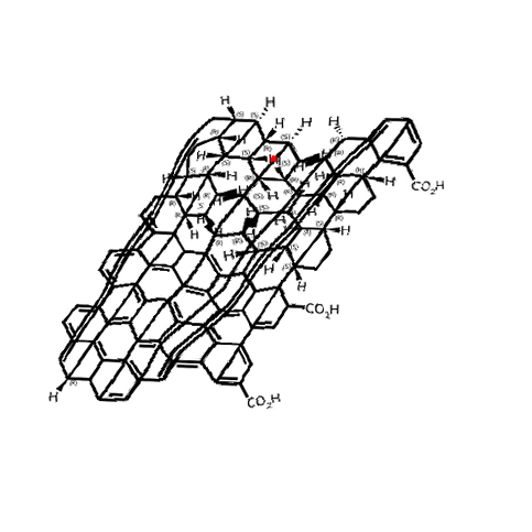 O=C(O)C1=C2C3c4c(c5c(C(=O)O)cc6c7c8c9c%10c%11c%12c%13c%14ccc%15c%16ccc%17c%18c%19c%20c(c4c4c5c6c9c5c%11c(c%13%15)c(c%18%16)c%20c45)C4=C5C%19[C@@H]6C%17=CC[C@H]9[C@H]%11CC[C@H]%13[C@H]%15CC=C%14C%14C%12C%12=C%10C%10C8C(C(C(=O)O)C=7)[C@H]7CC[C@H]8[C@H]%16CC[C@@H]2[C@@H]2[C@H]%16[C@@H]%16[C@@H]%17[C@H]8[C@H]7[C@H]%10[C@@H]7[C@H]%12[C@H]([C@H]%14%15)[C@@H]8[C@H]%13[C@H]%11[C@@H]%10[C@@H]([C@H]5[C@@H]([C@H]%16[C@@H]%10[C@@H]8[C@H]%177)[C@@H]2[C@@H]43)[C@H]96)=C1